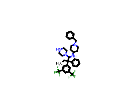 CCC(c1ccccc1)(c1cc(C(F)(F)F)cc(C(F)(F)F)c1)C(NC1CCN(Cc2ccccc2)CC1)N1CCNCC1